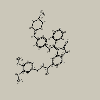 COc1ccc(CNC(=O)c2ccc3c(c2)C(=C(Nc2ccc(CN4CCN(C)CC4)cc2)c2ccccc2)C(=O)N3)cc1OC